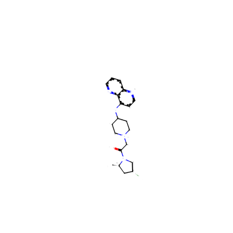 C[C@@H]1C[C@H](F)CN1C(=O)CN1CCC(Nc2ccnc3cccnc23)CC1